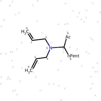 C=CCN(CC=C)C(CCCCC)C(C)=O